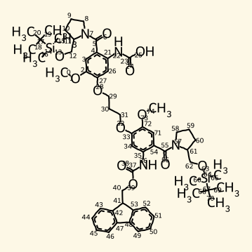 COc1cc(C(=O)N2CCCC2CO[Si](C)(C)C(C)(C)C)c(NC(=O)O)cc1OCCCOc1cc(NC(=O)OCC2c3ccccc3-c3ccccc32)c(C(=O)N2CCCC2CO[Si](C)(C)C(C)(C)C)cc1OC